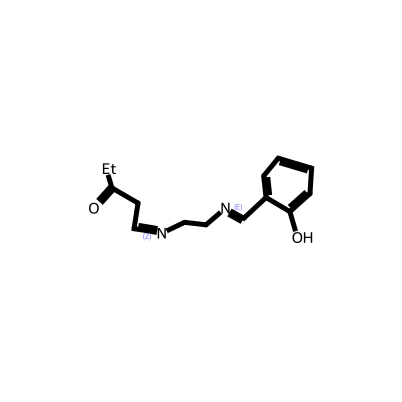 CCC(=O)C/C=N\CC/N=C/c1ccccc1O